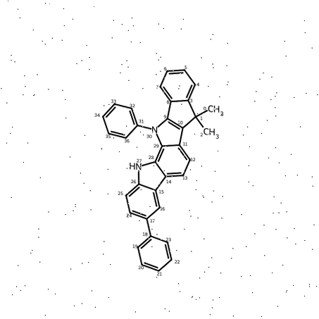 CC1(C)c2ccccc2-c2c1c1ccc3c4cc(-c5ccccc5)ccc4[nH]c3c1n2-c1ccccc1